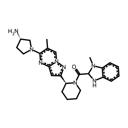 Cc1cn2nc([C@@H]3CCCCN3C(=O)C3Nc4ccccc4N3C)cc2nc1N1CC[C@H](N)C1